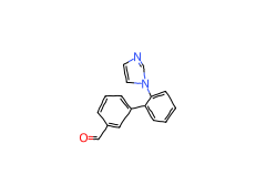 O=Cc1cccc(-c2ccccc2-n2ccnc2)c1